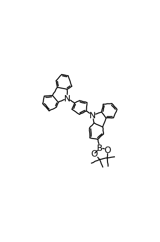 CC1(C)OB(C2=CC3c4ccccc4N(c4ccc(-n5c6ccccc6c6ccccc65)cc4)C3C=C2)OC1(C)C